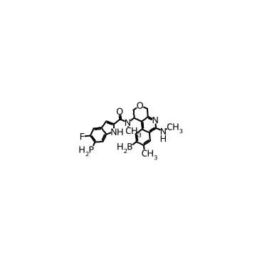 Bc1cc2c3c(nc(NC)c2cc1C)COCC3N(C)C(=O)c1cc2cc(F)c(P)cc2[nH]1